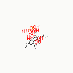 CCC(C)c1cc(C(C)CC)c(C(O)(c2c(C(C)CC)cc(C(C)CC)cc2C(C)CC)C(CO)(CO)CO)c(C(C)CC)c1.OP(O)OP(O)O